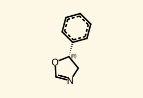 C1=NC[C@@H](c2ccccc2)O1